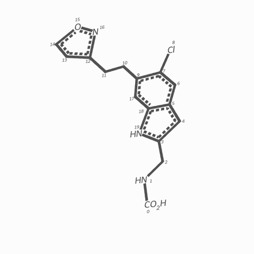 O=C(O)NCc1cc2cc(Cl)c(CCc3ccon3)cc2[nH]1